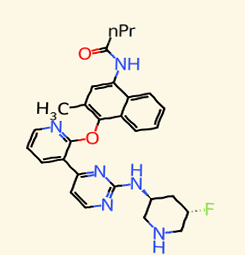 CCCC(=O)Nc1cc(C)c(Oc2ncccc2-c2ccnc(N[C@@H]3CNC[C@@H](F)C3)n2)c2ccccc12